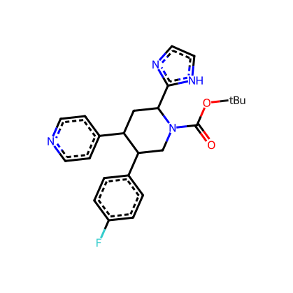 CC(C)(C)OC(=O)N1CC(c2ccc(F)cc2)C(c2ccncc2)CC1c1ncc[nH]1